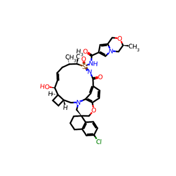 C[C@@H]1[C@@H](C)C/C=C/[C@H](O)[C@@H]2CC[C@H]2CN2C[C@@]3(CCCc4cc(Cl)ccc43)COc3ccc(cc32)C(=O)N=S1(=O)NC(=O)c1cc2n(c1)C[C@H](C)OC2